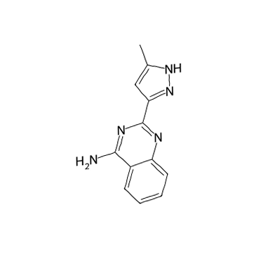 Cc1cc(-c2nc(N)c3ccccc3n2)n[nH]1